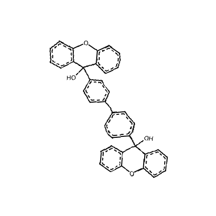 OC1(c2ccc(-c3ccc(C4(O)c5ccccc5Oc5ccccc54)cc3)cc2)c2ccccc2Oc2ccccc21